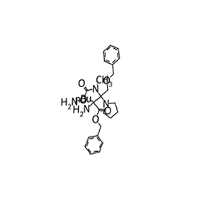 CCCCC(N)(C(=O)OCc1ccccc1)C(COCc1ccccc1)(N1CCCC1)N(C)C(=O)ON